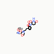 CN(C[C@@H]1CN(CCCc2cccc3c2oc(=O)n3C2CCC(=O)NC2=O)CCO1)C(=O)OC(C)(C)C